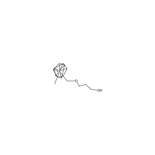 OCCCOC[C]12[CH]3[CH]4[CH]5[C]1(I)[Fe]45321678[CH]2[CH]1[CH]6[CH]7[CH]28